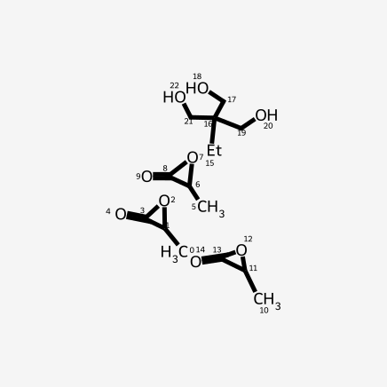 CC1OC1=O.CC1OC1=O.CC1OC1=O.CCC(CO)(CO)CO